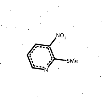 CSc1ncccc1[N+](=O)[O-]